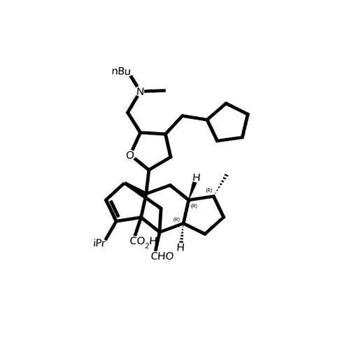 CCCCN(C)CC1OC(C23C[C@@H]4[C@H](C)CC[C@H]4C4(C=O)CC2C=C(C(C)C)C34C(=O)O)CC1CC1CCCC1